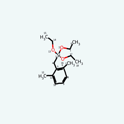 CCO[Si](Cc1c(C)cccc1C)(OCC)OCC